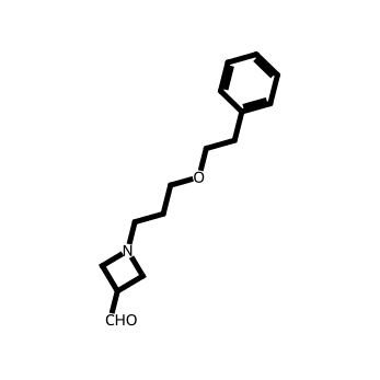 O=CC1CN(CCCOCCc2ccccc2)C1